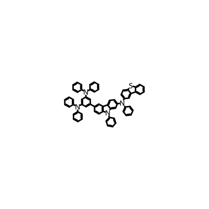 c1ccc(N(c2ccccc2)c2cc(-c3ccc4c(c3)c3ccc(N(c5ccccc5)c5ccc6sc7ccccc7c6c5)cc3n4-c3ccccc3)cc(N(c3ccccc3)c3ccccc3)c2)cc1